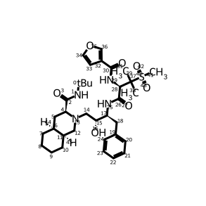 CC(C)(C)NC(=O)[C@@H]1C[C@@H]2CCCC[C@@H]2CN1C[C@@H](O)[C@H](Cc1ccccc1)NC(=O)[C@@H](NC(=O)c1ccoc1)C(C)(C)S(C)(=O)=O